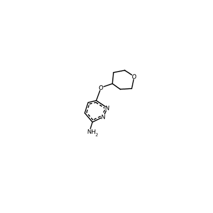 Nc1ccc(OC2CCOCC2)nn1